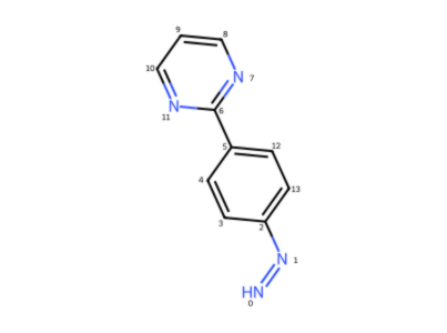 N=Nc1ccc(-c2ncccn2)cc1